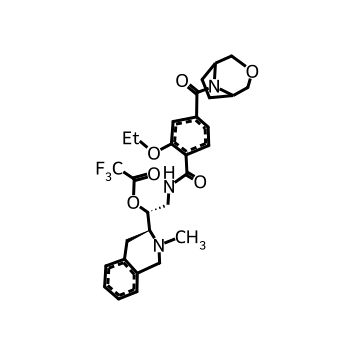 CCOc1cc(C(=O)N2C3CCC2COC3)ccc1C(=O)NC[C@@H](OC(=O)C(F)(F)F)[C@@H]1Cc2ccccc2CN1C